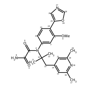 COc1cc(N(C(=O)C(N)=O)C(C)(C)Cc2cc(C)nc(C)c2)ccc1-c1cnco1